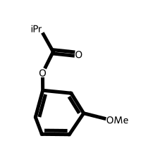 COc1cccc(OC(=O)C(C)C)c1